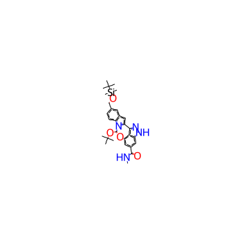 CNC(=O)c1ccc2c(-c3cc4cc(CO[Si](C)(C)C(C)(C)C)ccc4n3C(=O)OC(C)(C)C)n[nH]c2c1